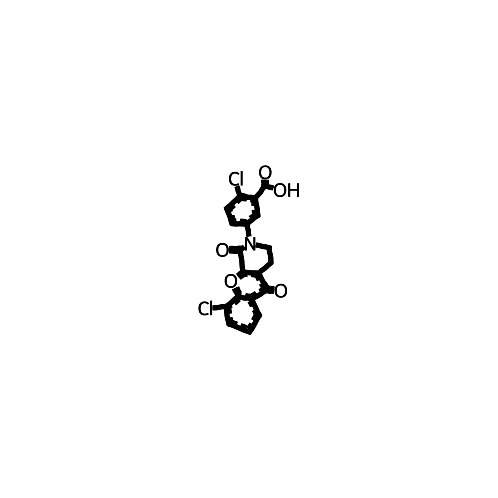 O=C(O)c1cc(N2CCc3c(oc4c(Cl)cccc4c3=O)C2=O)ccc1Cl